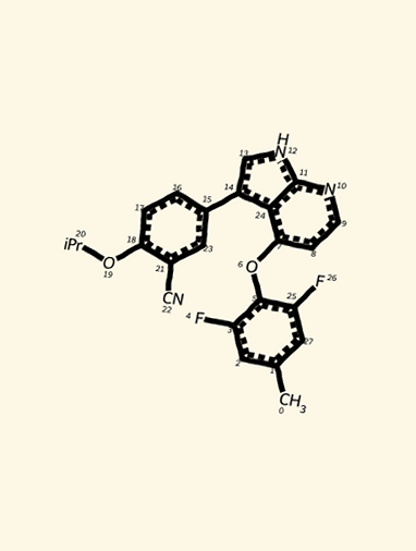 Cc1cc(F)c(Oc2ccnc3[nH]cc(-c4ccc(OC(C)C)c(C#N)c4)c23)c(F)c1